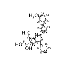 CCn1c(C(O)CO)nc2c(N3CCOCC3)nc(-n3cc(-c4cccc(C)c4)cn3)nc21